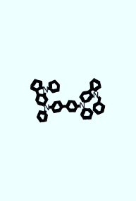 C1=CC(n2c3ccccc3c3ccc(N(c4ccccc4)c4ccc(-c5ccc(N(c6ccccc6)c6ccc7c8ccccc8n(Cc8ccccc8)c7c6)cc5)cc4)cc32)=CCC1